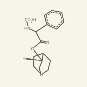 CCOC(=O)NC(C(=O)O[C@H]1CN2CCC1CC2)c1ccccc1